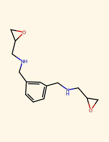 c1cc(CNCC2CO2)cc(CNCC2CO2)c1